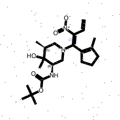 C=C/C(=C(\C1=C(C)CCC1)N1C[C@H](C)C(C)(O)[C@H](NC(=O)OC(C)(C)C)C1)[N+](=O)[O-]